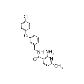 Cc1ccc(C(=O)NCc2cccc(Oc3ccc(Cl)cc3)c2)c(N)n1